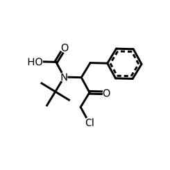 CC(C)(C)N(C(=O)O)C(Cc1ccccc1)C(=O)CCl